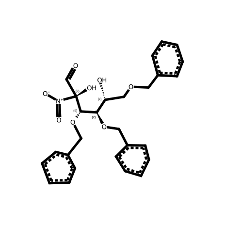 O=C[C@](O)([C@@H](OCc1ccccc1)[C@H](OCc1ccccc1)[C@H](O)COCc1ccccc1)[N+](=O)[O-]